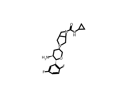 N[C@H]1C[C@@H](N2CC3CN(C(=O)NC4CC4)C3C2)CO[C@@H]1c1cc(F)ccc1F